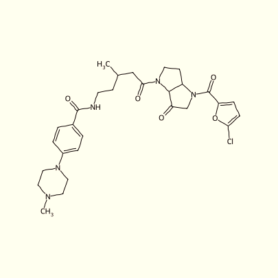 CC(CCNC(=O)c1ccc(N2CCN(C)CC2)cc1)CC(=O)N1CCC2C1C(=O)CN2C(=O)c1ccc(Cl)o1